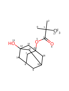 CC(C)(C(=O)OC12CC3CC(CC(O)(C3)C1)C2)C(F)(F)F